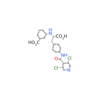 O=C(O)c1cccc(NC(Cc2ccc(NC(=O)c3c(Cl)cncc3Cl)cc2)C(=O)O)c1